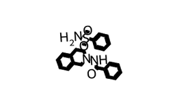 NS(=O)(=O)c1ccccc1.O=C(NN1CCc2ccccc2C1)c1ccccc1